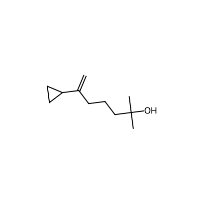 C=C(CCCC(C)(C)O)C1CC1